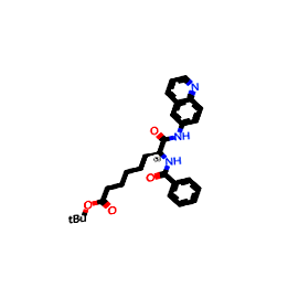 CC(C)(C)OC(=O)CCCCC[C@H](NC(=O)c1ccccc1)C(=O)Nc1ccc2ncccc2c1